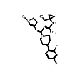 C/C(=N\C(=N/C1=C[S+]([O-])CC1)N1CCC(c2ccc(F)cc2F)CC1)NC1(CO)CC1